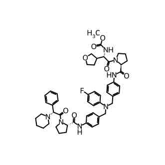 COC(=O)N[C@H](C(=O)N1CCC[C@H]1C(=O)Nc1ccc(CN(Cc2ccc(NC(=O)[C@@H]3CCCN3C(=O)[C@@H](c3ccccc3)N3CCCCC3)cc2)c2ccc(F)cc2)cc1)C1CCOC1